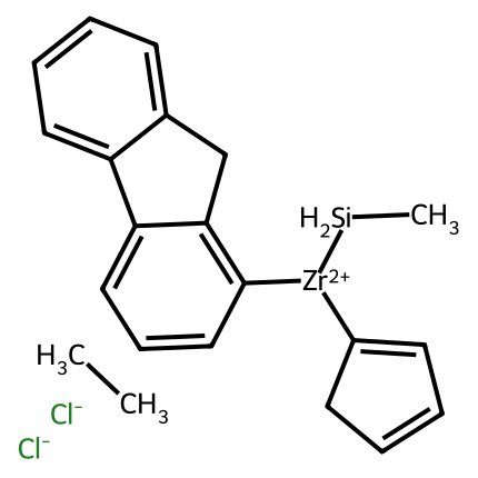 CC.C[SiH2][Zr+2]([C]1=CC=CC1)[c]1cccc2c1Cc1ccccc1-2.[Cl-].[Cl-]